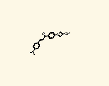 CN(C)c1ccc(/C=C/C(=O)c2ccc(N3CC(O)C3)cc2)cc1